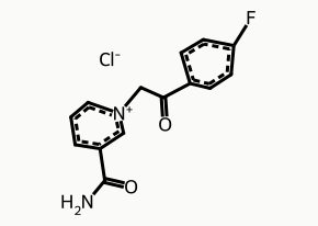 NC(=O)c1ccc[n+](CC(=O)c2ccc(F)cc2)c1.[Cl-]